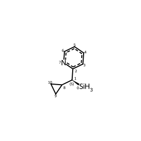 [SiH3][C@H](c1ccccn1)C1CC1